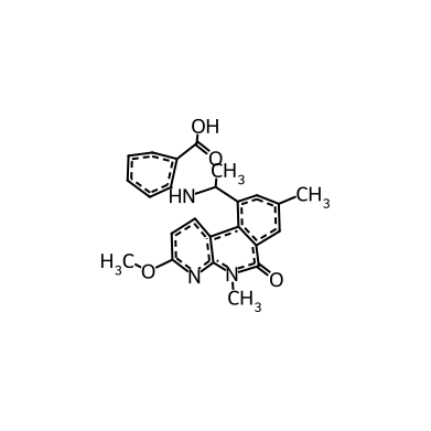 COc1ccc2c3c(C(C)Nc4ccccc4C(=O)O)cc(C)cc3c(=O)n(C)c2n1